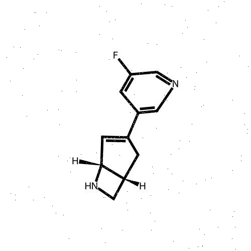 Fc1cncc(C2=C[C@H]3NC[C@H]3C2)c1